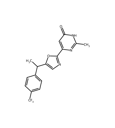 Cc1nc(-c2ncc(C(C)c3ccc(C(F)(F)F)cc3)o2)cc(=O)[nH]1